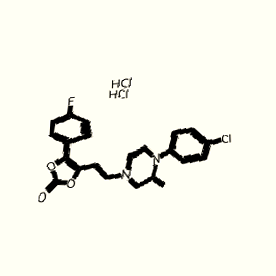 CC1CN(CCc2oc(=O)oc2-c2ccc(F)cc2)CCN1c1ccc(Cl)cc1.Cl.Cl